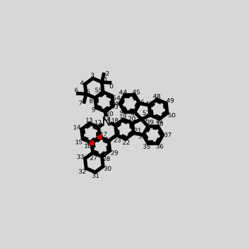 CC1(C)CCC(C)(C)c2cc(N(c3ccccc3)c3cc4c(cc3-c3ccc5c(c3)CCCC5)-c3ccccc3C43c4ccccc4-c4ccccc43)ccc21